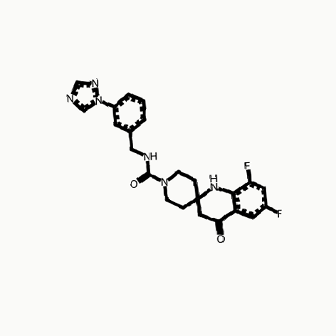 O=C1CC2(CCN(C(=O)NCc3cccc(-n4cncn4)c3)CC2)Nc2c(F)cc(F)cc21